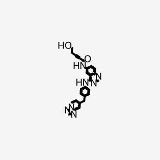 O=C(C#CCCO)Nc1ccc2ncnc(Nc3ccc(Cc4ccn5ncnc5c4)cc3)c2c1